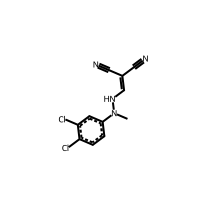 CN(NC=C(C#N)C#N)c1ccc(Cl)c(Cl)c1